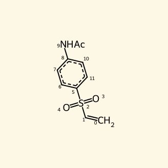 C=CS(=O)(=O)c1ccc(NC(C)=O)cc1